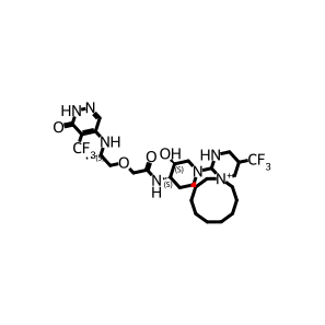 C[C@@H](COCC(=O)N[C@H]1CCN(C2NCC(C(F)(F)F)C[N+]23CCCCCCCCC3)C[C@@H]1O)Nc1cn[nH]c(=O)c1C(F)(F)F